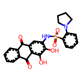 O=C1c2ccccc2C(=O)c2c1cc(NS(=O)(=O)c1ccccc1N1CCCC1)c(O)c2O